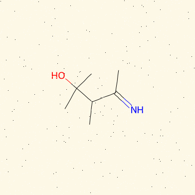 CC(=N)C(C)C(C)(C)O